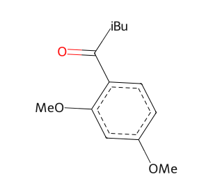 [CH2]CC(C)C(=O)c1ccc(OC)cc1OC